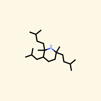 CC(C)CCC1(C)CCC(CC(C)C)C(C)(CCC(C)C)N1